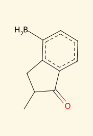 Bc1cccc2c1CC(C)C2=O